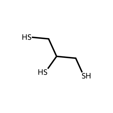 SCC(S)CS